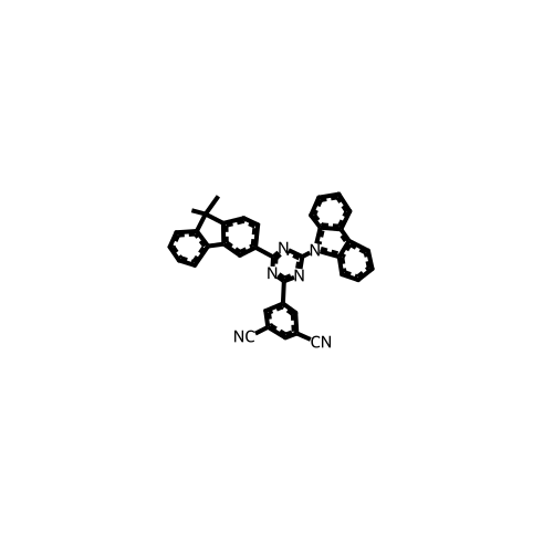 CC1(C)c2ccccc2-c2cc(-c3nc(-c4cc(C#N)cc(C#N)c4)nc(-n4c5ccccc5c5ccccc54)n3)ccc21